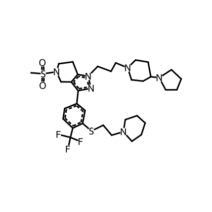 CS(=O)(=O)N1CCc2c(c(-c3ccc(C(F)(F)F)c(SCCN4CCCCC4)c3)nn2CCCN2CCC(N3CCCC3)CC2)C1